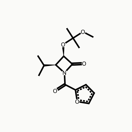 COC(C)(C)O[C@H]1C(=O)N(C(=O)c2ccco2)[C@H]1C(C)C